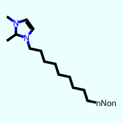 CCCCCCCCCCCCCCCCCCN1C=CN(C)C1C